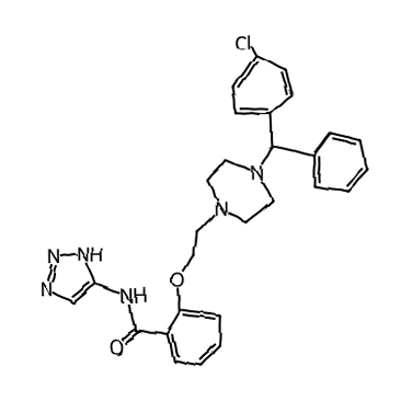 O=C(Nc1cnn[nH]1)c1ccccc1OCCN1CCN(C(c2ccccc2)c2ccc(Cl)cc2)CC1